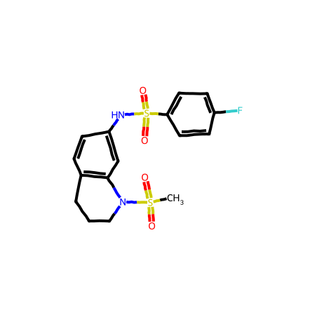 CS(=O)(=O)N1CCCc2ccc(NS(=O)(=O)c3ccc(F)cc3)cc21